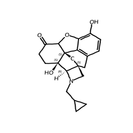 O=C1CC[C@@]2(O)[C@@H]3N(CC4CC4)C[C@@]34Cc3ccc(O)c5c3[C@@]2(C4)C1O5